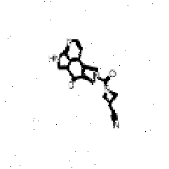 N#CC1CN(C(=O)n2cc3c(c2)-c2ccnc4[nH]cc(c24)C3=O)C1